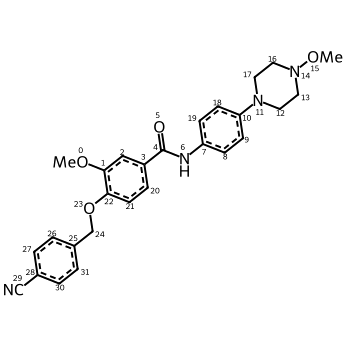 COc1cc(C(=O)Nc2ccc(N3CCN(OC)CC3)cc2)ccc1OCc1ccc(C#N)cc1